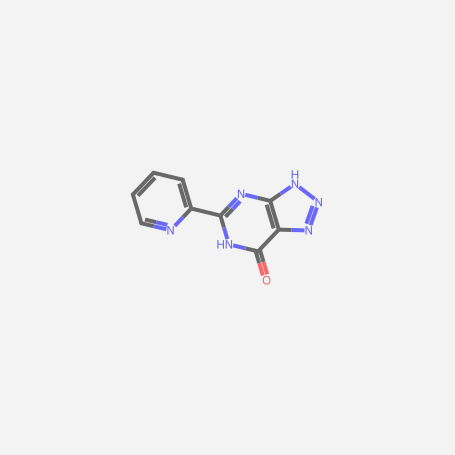 O=c1[nH]c(-c2ccccn2)nc2[nH]nnc12